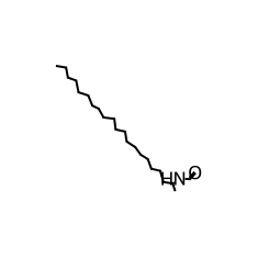 CCCCCCCCCCCCCCCCCCCC(C)NC=O